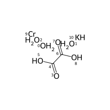 O.O.O.O=C(O)C(=O)O.[Cr].[KH]